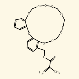 C=C(C)C(=O)OCc1cccc2c1OCCOCCOCCOCCOc1ccccc1O2